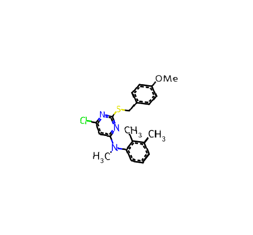 COc1ccc(CSc2nc(Cl)cc(N(C)c3cccc(C)c3C)n2)cc1